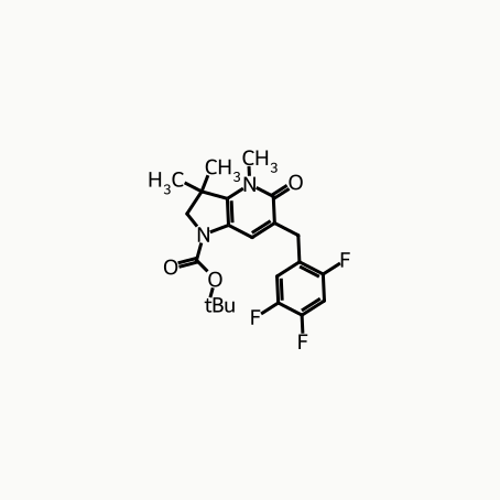 Cn1c2c(cc(Cc3cc(F)c(F)cc3F)c1=O)N(C(=O)OC(C)(C)C)CC2(C)C